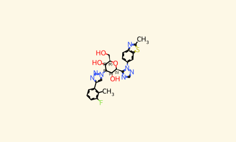 Cc1nc2ccc(-n3ncnc3[C@@H]3O[C@H](CO)[C@H](O)[C@H](n4cc(-c5cccc(F)c5C)nn4)[C@H]3O)cc2s1